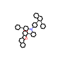 c1ccc(-c2ccc(N(c3ccc(-c4c(-c5ccccc5)ccc5ccccc45)cc3)c3ccccc3-c3cccc4c3oc3c5ccccc5ccc43)cc2)cc1